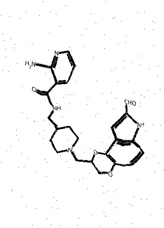 Nc1ncccc1C(=O)NCC1CCN(CC2COc3ccc4[nH]c(C=O)cc4c3O2)CC1